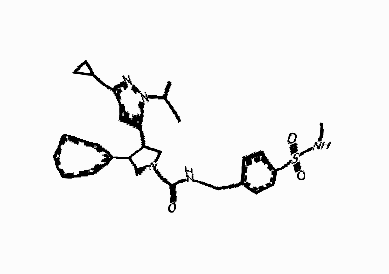 CNS(=O)(=O)c1ccc(CNC(=O)N2CC(c3ccccc3)C(c3cc(C4CC4)nn3C(C)C)C2)cc1